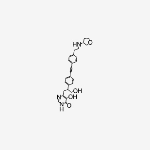 O=c1[nH]cnc(CC(CO)c2ccc(C#Cc3ccc(CCN[C@H]4CCOC4)cc3)cc2)c1O